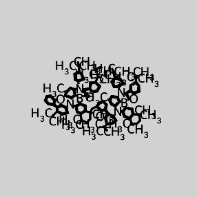 Cc1cc2c3c(c1)N(c1ccc(C(C)C)c4c1oc1ccccc14)c1cc4c(cc1B3c1oc3ccc(C(C)(C)C)cc3c1N2c1ccc(C(C)(C)C)cc1)C(C)(Cc1cccc2c1oc1c(C(C)(C)C)ccc(N3c5cc6c(cc5B5c7oc8ccc(C(C)(C)C)cc8c7N(c7ccc(C(C)(C)C)cc7)c7cc(C)cc3c75)C(C)(C)CCC6(C)C)c12)CCC4(C)C